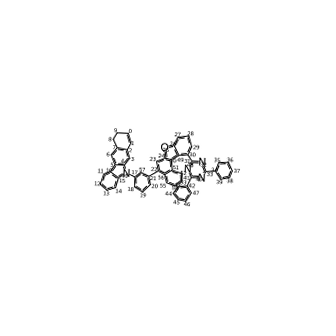 C1=Cc2cc3c(cc2CC1)c1ccccc1n3-c1cccc(-c2cc3oc4cccc(-c5nc(-c6ccccc6)nc(-c6ccccc6)n5)c4c3c3ccccc23)c1